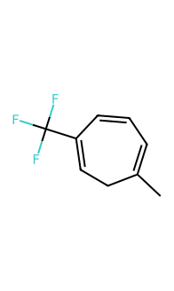 CC1=CC=CC(C(F)(F)F)=CC1